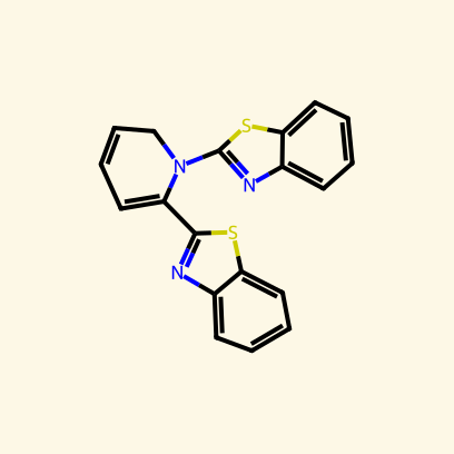 C1=CCN(c2nc3ccccc3s2)C(c2nc3ccccc3s2)=C1